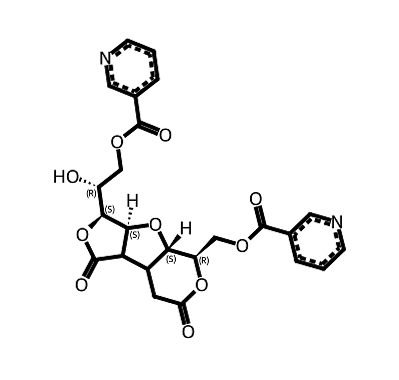 O=C1CC2C3C(=O)O[C@@H]([C@H](O)COC(=O)c4cccnc4)[C@H]3O[C@@H]2[C@@H](COC(=O)c2cccnc2)O1